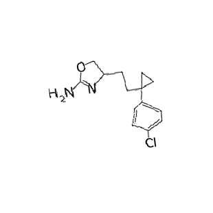 NC1=NC(CCC2(c3ccc(Cl)cc3)CC2)CO1